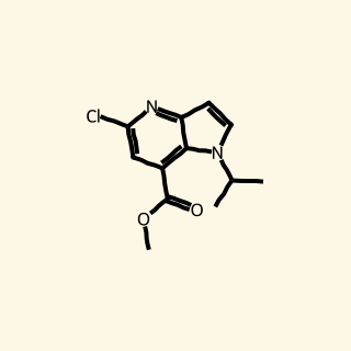 COC(=O)c1cc(Cl)nc2ccn(C(C)C)c12